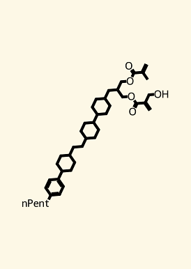 C=C(C)C(=O)OCC(COC(=O)C(=C)CO)CC1CCC(C2CCC(CCC3CCC(c4ccc(CCCCC)cc4)CC3)CC2)CC1